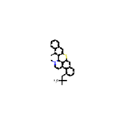 Cc1c2c(cc3ccccc13)Sc1cc3cccc(CC(C)(C)C(F)(F)F)c3c3cc[n+](C)c-2c13